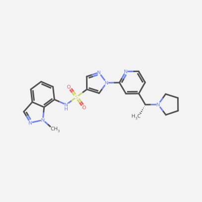 C[C@H](c1ccnc(-n2cc(S(=O)(=O)Nc3cccc4cnn(C)c34)cn2)c1)N1CCCC1